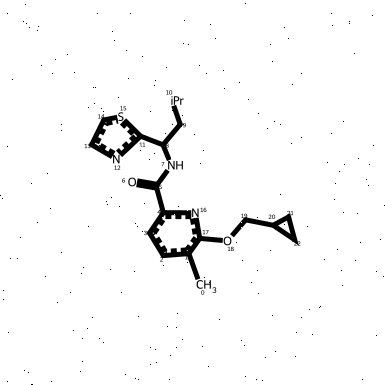 Cc1ccc(C(=O)NC(CC(C)C)c2nccs2)nc1OCC1CC1